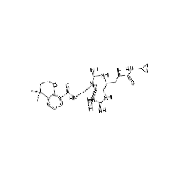 CC1(C)CCOc2c(C(=O)NC3CN4C(=N)N[C@@H](CNC(=O)NC5CC5)C5NC(=N)NC54[C@@H]3O)cccc21